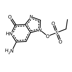 CCS(=O)(=O)On1cnc2c(=O)[nH]c(N)cc21